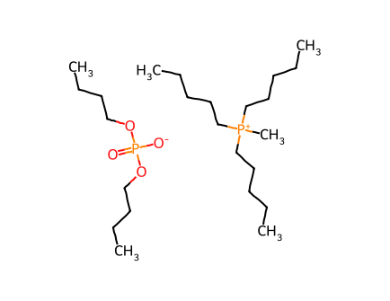 CCCCC[P+](C)(CCCCC)CCCCC.CCCCOP(=O)([O-])OCCCC